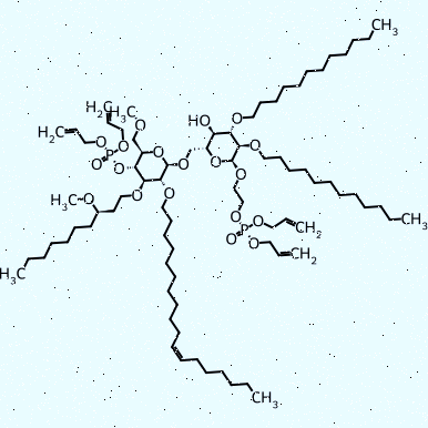 C=CCOP(=O)(OCC=C)OCCO[C@H]1O[C@H](CO[C@@H]2O[C@H](COC)[C@@H](OP(=O)(OCC=C)OCC=C)[C@H](OCC[C@@H](CCCCCCC)OC)[C@H]2OCCCCCCCCCC/C=C\CCCCCC)[C@@H](O)[C@H](OCCCCCCCCCCCC)[C@H]1OCCCCCCCCCCCC